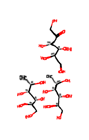 O=C(CO)[C@@H](O)[C@H](O)[C@H](O)CO.O=C[C@H](O)[C@@H](O)[C@H](O)[C@H](O)CO.O=C[C@H](O)[C@@H](O)[C@H](O)[C@H](O)CO